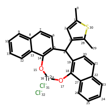 Cc1cc(C2c3ccc4ccccc4c3[O][Ti+2][O]c3c2ccc2ccccc32)c(C)s1.[Cl-].[Cl-]